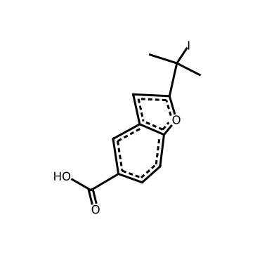 CC(C)(I)c1cc2cc(C(=O)O)ccc2o1